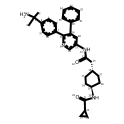 CC(C)(N)c1ccc(-c2ncc(NC(=O)C[C@H]3CC[C@H](NC(=O)C4CC4)CC3)cc2-c2ccccc2)cc1